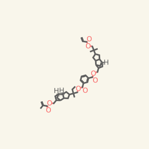 C=CC(=O)OCC(C)(C)C1CC2C3C[C@@H](CC3COC(=O)c3cccc(C(=O)OCC(C)(CC)C4CC5C6C[C@@H](CC6COC(=O)C(=C)C)[C@H]5C4)c3)C2C1